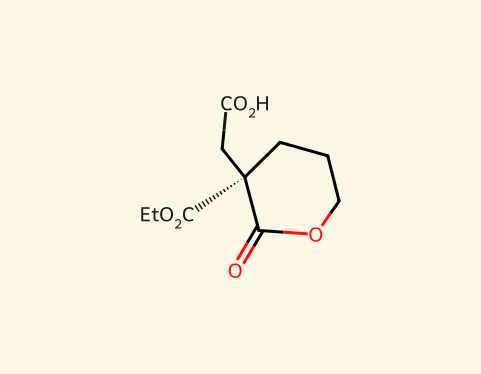 CCOC(=O)[C@]1(CC(=O)O)CCCOC1=O